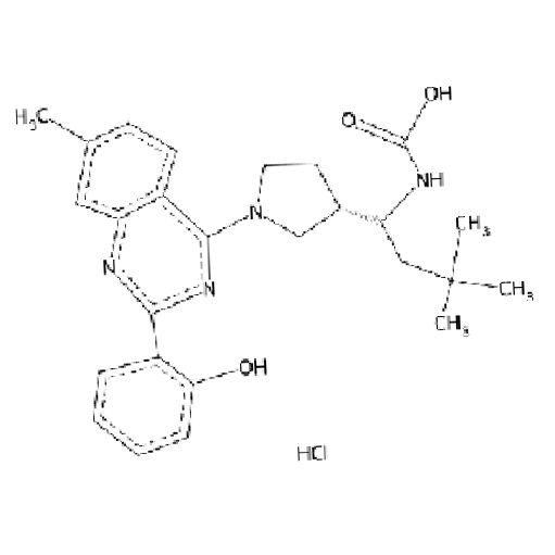 Cc1ccc2c(N3CC[C@H](C(CC(C)(C)C)NC(=O)O)C3)nc(-c3ccccc3O)nc2c1.Cl